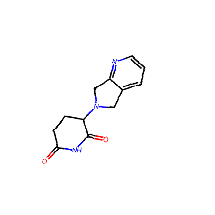 O=C1CCC(N2Cc3cccnc3C2)C(=O)N1